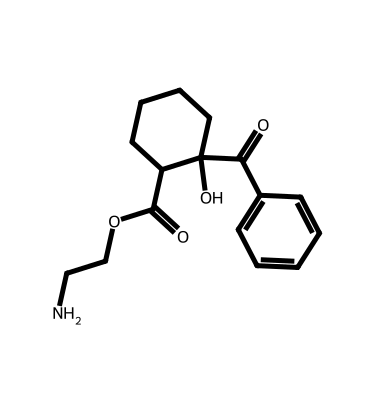 NCCOC(=O)C1CCCCC1(O)C(=O)c1ccccc1